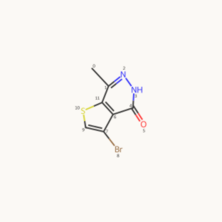 Cc1n[nH]c(=O)c2c(Br)csc12